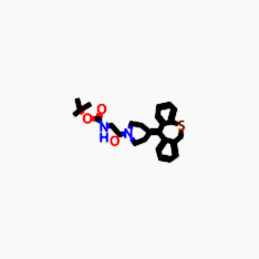 CC(C)(C)OC(=O)NCC(=O)N1CCC(=C2c3ccccc3CSc3ccccc32)CC1